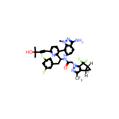 Cn1nc(N)c2cccc(-c3ccc(C#CC(C)(C)O)nc3C(Cc3cc(F)cc(F)c3)NC(=O)Cn3nc(C(F)(F)F)c4c3C(F)(F)[C@@H]3C[C@H]43)c21